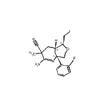 CC1(C#N)C[C@@H]2[C@@H](CF)OC[C@]2(c2ccccc2F)N=C1N